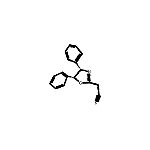 N#CCC1=N[C@H](c2ccccc2)[C@H](c2ccccc2)O1